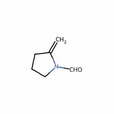 C=C1CCCN1C=O